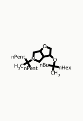 CCCCCCC(C)(CCCC)OC1COC2CN(C(C)(CCCCC)CCCCC)CC21